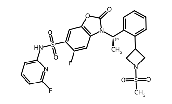 C[C@H](c1ccccc1C1CN(S(C)(=O)=O)C1)n1c(=O)oc2cc(S(=O)(=O)Nc3cccc(F)n3)c(F)cc21